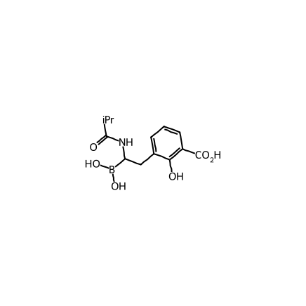 CC(C)C(=O)NC(Cc1cccc(C(=O)O)c1O)B(O)O